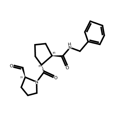 O=C[C@@H]1CCCN1C(=O)[C@@H]1CCC[C@H]1C(=O)NCc1ccccc1